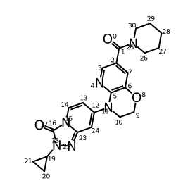 O=C(c1cnc2c(c1)OCCN2c1ccn2c(=O)n(C3CC3)nc2c1)N1CCCCC1